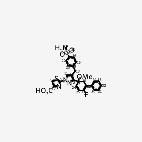 COC1(c2nn(-c3nc(C(=O)O)cs3)cc2Cc2ccc(S(N)(=O)=O)cc2)C=CC(F)=C(c2ccccc2)C1